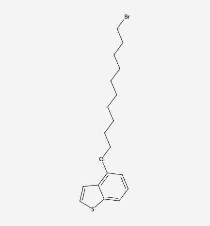 BrCCCCCCCCCCOc1cccc2sccc12